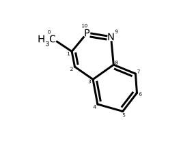 Cc1cc2ccccc2np1